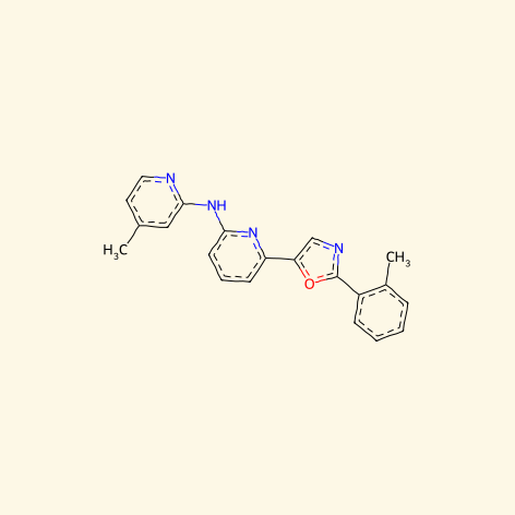 Cc1ccnc(Nc2cccc(-c3cnc(-c4ccccc4C)o3)n2)c1